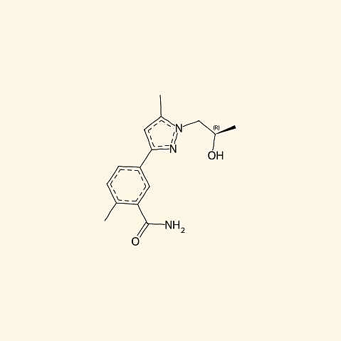 Cc1ccc(-c2cc(C)n(C[C@@H](C)O)n2)cc1C(N)=O